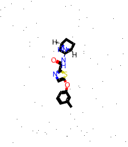 Cc1cccc(Oc2cnc(C(=O)N[C@@H]3C[C@H]4CC[C@@H]3N4)s2)c1